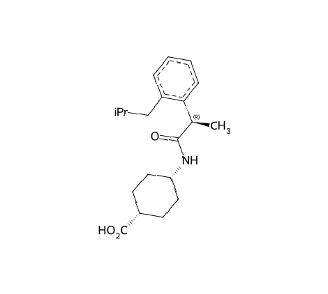 CC(C)Cc1ccccc1[C@@H](C)C(=O)N[C@H]1CC[C@@H](C(=O)O)CC1